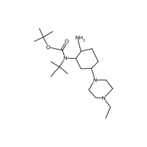 CCN1CCN(C2CCC(N)C(N(C(=O)OC(C)(C)C)C(C)(C)C)C2)CC1